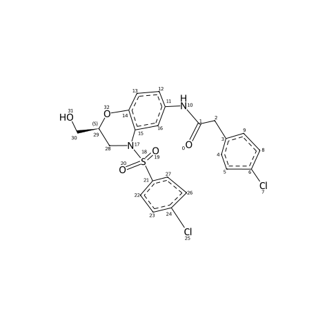 O=C(Cc1ccc(Cl)cc1)Nc1ccc2c(c1)N(S(=O)(=O)c1ccc(Cl)cc1)C[C@@H](CO)O2